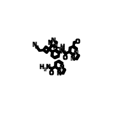 Cn1cnnc1C1(c2cccc(NC(=O)c3cc(C=O)cn4ccnc34)c2)CC(CC#N)C1.NC(=O)c1cccn2ccnc12